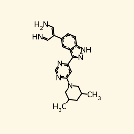 CC1CC(C)CN(c2cc(-c3n[nH]c4ccc(/C(C=N)=C/N)cc34)ncn2)C1